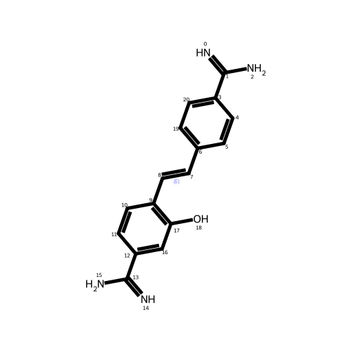 N=C(N)c1ccc(/C=C/c2ccc(C(=N)N)cc2O)cc1